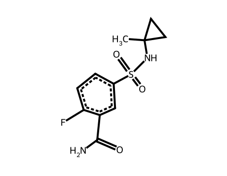 CC1(NS(=O)(=O)c2ccc(F)c(C(N)=O)c2)CC1